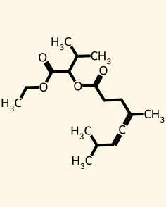 CCOC(=O)C(OC(=O)CCC(C)=C=CC(C)C)C(C)C